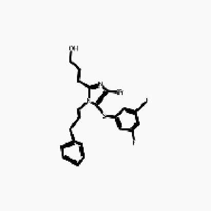 CC(C)c1nc(CCCO)n(CCCc2ccccc2)c1Sc1cc(F)cc(F)c1